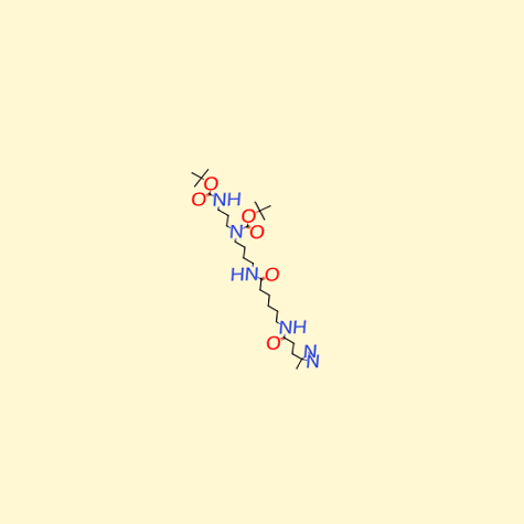 CC1(CCC(=O)NCCCCCC(=O)NCCCCN(CCCNC(=O)OC(C)(C)C)C(=O)OC(C)(C)C)N=N1